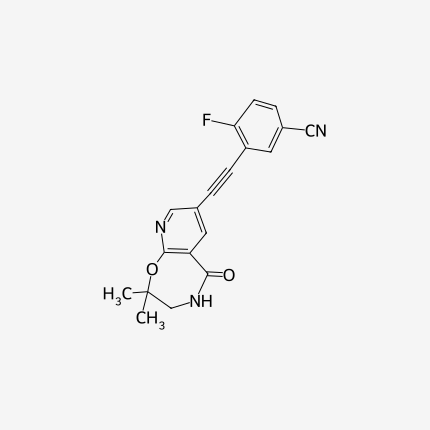 CC1(C)CNC(=O)c2cc(C#Cc3cc(C#N)ccc3F)cnc2O1